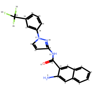 Nc1cc2ccccc2cc1C(=O)Nc1ccn(-c2cccc(C(F)(F)F)c2)n1